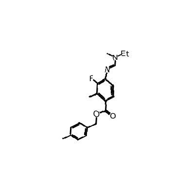 CCN(C)/C=N/c1ccc(C(=O)OCc2ccc(C)cc2)c(C)c1F